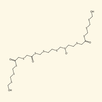 O=C(CSCC[S+]([O-])CSCCSCSC(=O)CSCC(=O)SCSCSCO)SCSCSCO